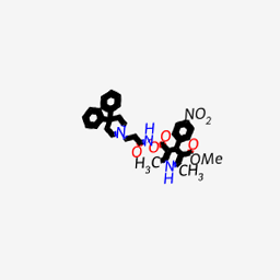 COC(=O)C1=C(C)NC(C)=C(C(=O)ONC(=O)CCN2CCC(c3ccccc3)(c3ccccc3)CC2)C1c1ccc([N+](=O)[O-])cc1